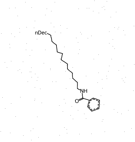 CCCCCCCCCCCCCCCCCCCCCCNC(=O)c1ccccc1